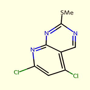 CSc1ncc2c(Cl)cc(Cl)nc2n1